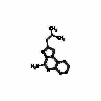 CC(C)Cc1cc2c(o1)c(N)nc1ccccc12